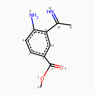 COC(=O)c1ccc(N)c(C(C)=N)c1